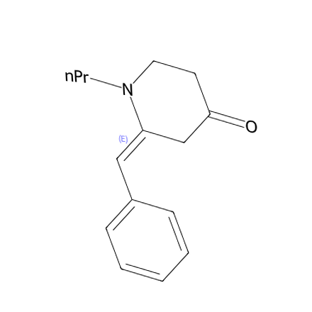 CCCN1CCC(=O)C/C1=C\c1ccccc1